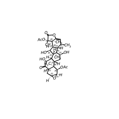 CC(=O)O[C@H]1[C@H]2O[C@H]2C[C@@H]2C(=O)[C@H](O)[C@H]3[C@@H]4[C@@H](O)[C@@H]5[C@H]([C@H](C)C=C6OC(=O)[C@@](C)(OC(C)=O)[C@@]65C)[C@@]4(C)[C@@H](O)C[C@@H]3[C@]21C